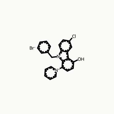 Oc1ccc(-[n+]2ccccc2)c2c1c1cc(Cl)ccc1n2Cc1ccccc1.[Br-]